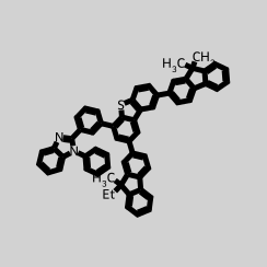 CCC1(C)c2ccccc2-c2ccc(-c3cc(-c4cccc(-c5nc6ccccc6n5-c5ccccc5)c4)c4sc5ccc(-c6ccc7c(c6)C(C)(C)c6ccccc6-7)cc5c4c3)cc21